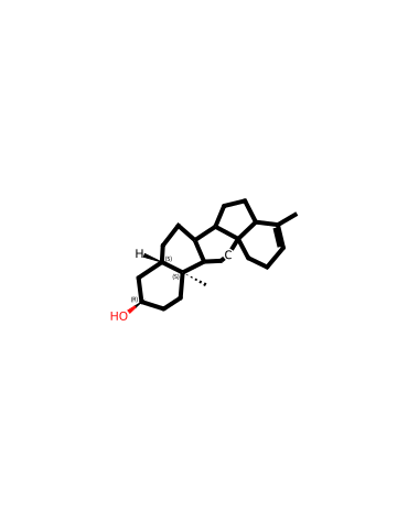 CC1=CCCC23CCC4C(CC[C@H]5C[C@H](O)CC[C@]45C)C2CCC13